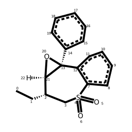 CC[C@H]1CS(=O)(=O)c2ccccc2[C@]2(c3ccccc3)O[C@H]12